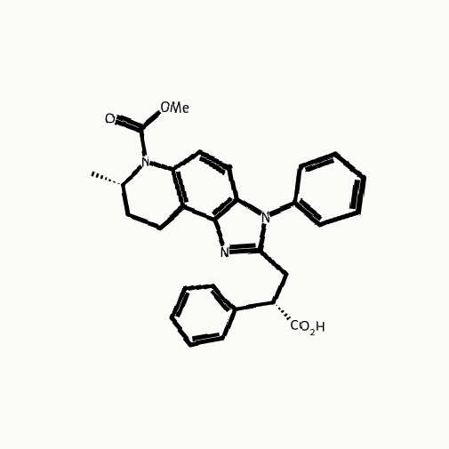 COC(=O)N1c2ccc3c(nc(C[C@H](C(=O)O)c4ccccc4)n3-c3ccccc3)c2CC[C@@H]1C